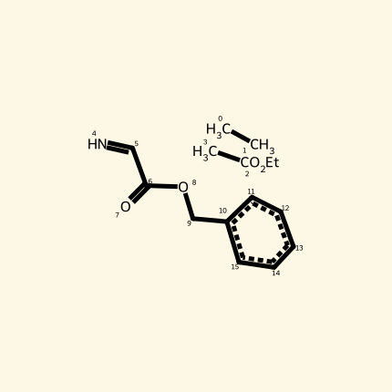 CC.CCOC(C)=O.N=CC(=O)OCc1ccccc1